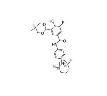 CC1(C)COC(c2cc(C(=O)Nc3ccc(N4[C@@H]5CCC[C@H]4CC5)cc3)cc(F)c2O)OC1